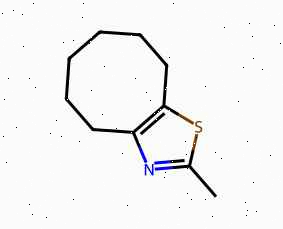 Cc1nc2c(s1)CCCCCC2